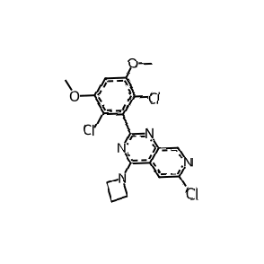 COc1cc(OC)c(Cl)c(-c2nc(N3CCC3)c3cc(Cl)ncc3n2)c1Cl